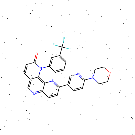 O=c1ccc2cnc3ccc(-c4ccc(N5CCOCC5)nc4)nc3c2n1-c1cccc(C(F)(F)F)c1